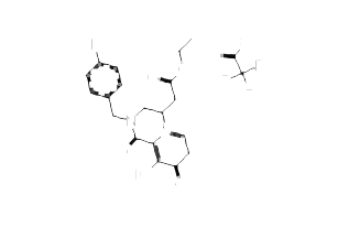 CCOC(=O)CC1CN(Cc2ccc(F)cc2)C(=O)C2=C(O)C(=O)CC=[N+]21.O=C([O-])C(F)(F)F